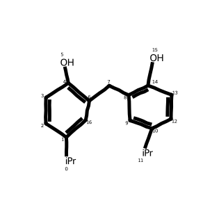 CC(C)c1ccc(O)c(Cc2cc(C(C)C)ccc2O)c1